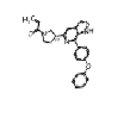 C=CC(=O)N1CC[C@H](c2cc3cn[nH]c3c(-c3ccc(Oc4ccccc4)cc3)n2)C1